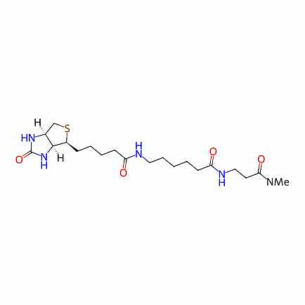 CNC(=O)CCNC(=O)CCCCCNC(=O)CCCC[C@@H]1SC[C@@H]2NC(=O)N[C@@H]21